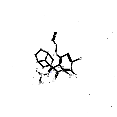 C=CCOc1cc(Cl)c(Cl)cc1/C(=N/[S+]([O-])C(C)(C)C)C1C2CCC1CN(C(=O)OC(C)(C)C)C2